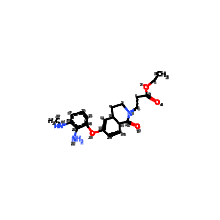 CCOC(=O)CCN1CCC2C=C(Oc3cccc(NC)c3N)C=CC2C1=O